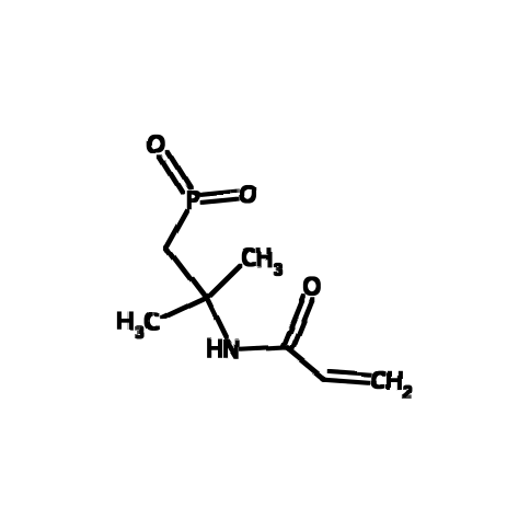 C=CC(=O)NC(C)(C)CP(=O)=O